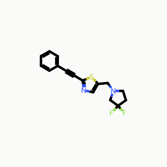 FC1(F)CCN(Cc2cnc(C#Cc3ccccc3)s2)C1